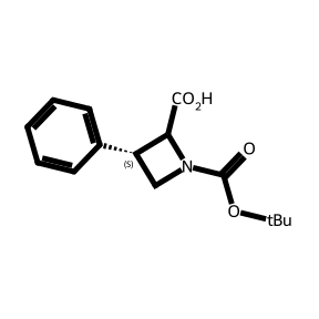 CC(C)(C)OC(=O)N1C[C@H](c2ccccc2)C1C(=O)O